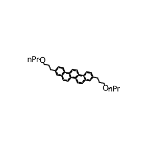 CCCOCCCc1ccc2c(ccc3c2ccc2c4ccc(CCCOCCC)cc4ccc23)c1